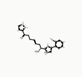 N[C@@H](C/C=C/CCC(=O)c1ccon1)c1nc(-c2ccccc2F)c[nH]1